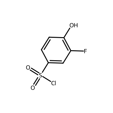 O=S(=O)(Cl)c1ccc(O)c(F)c1